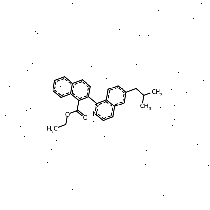 CCOC(=O)c1c(-c2nccc3cc(CC(C)C)ccc23)ccc2ccccc12